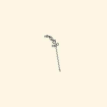 CCCCN1CCN(c2ccc(C(=O)NCCCCCCCCCCCCCCCCCCI)cn2)CC1